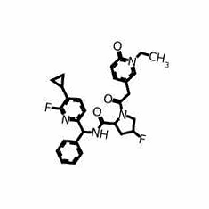 CCn1cc(CC(=O)N2CC(F)CC2C(=O)NC(c2ccccc2)c2ccc(C3CC3)c(F)n2)ccc1=O